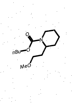 CCCCOC(=O)N1CCCCC1CCOC